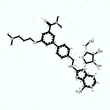 CN(C)CCCOc1cc(C(=O)N(C)C)cc(-c2ccc(CNc3nc4c(N)ncnc4n3[C@@H]3O[C@H](CO)[C@@H](O)[C@H]3O)cc2)c1